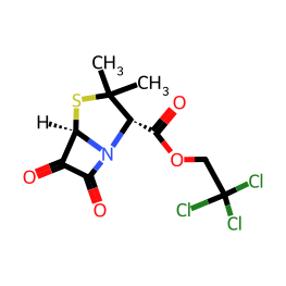 CC1(C)S[C@@H]2C(=O)C(=O)N2[C@H]1C(=O)OCC(Cl)(Cl)Cl